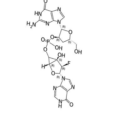 Nc1nc2c(ncn2[C@@H]2O[C@H](CO)C[C@H]2OP(=O)(O)OC2[C@H]3O[C@@H](n4cnc5c(=O)[nH]cnc54)[C@H](F)[C@@]23O)c(=O)[nH]1